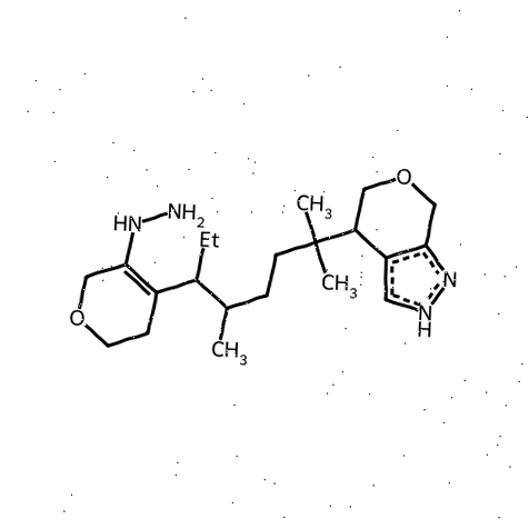 CCC(C1=C(NN)COCC1)C(C)CCC(C)(C)C1COCc2n[nH]cc21